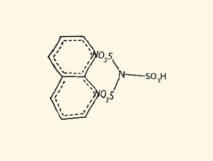 O=S(=O)(O)N(S(=O)(=O)O)S(=O)(=O)O.c1ccc2ccccc2c1